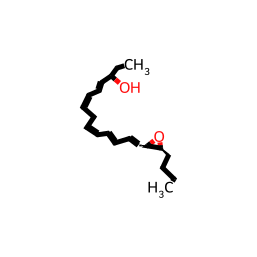 CCCC[C@@H]1O[C@H]1/C=C/C=C/C=C\C/C=C\C=C\C(O)CC